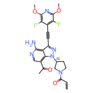 C=CC(=O)N1CC[C@H](n2nc(C#Cc3c(F)c(OC)nc(OC)c3F)c3c(N)ncc(C(C)=O)c32)C1